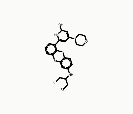 OC1C=C(N2CCOCC2)C=C(c2cccc3c2Sc2ccc(NC(CCl)CCl)cc2S3)N1